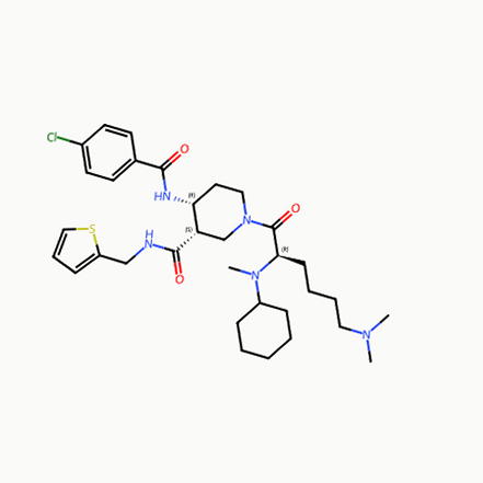 CN(C)CCCC[C@H](C(=O)N1CC[C@@H](NC(=O)c2ccc(Cl)cc2)[C@@H](C(=O)NCc2cccs2)C1)N(C)C1CCCCC1